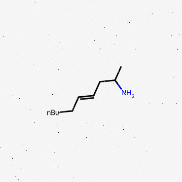 CCCCC/C=C/CC(C)N